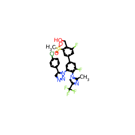 Cc1nc(C(F)(F)F)cn1-c1c(F)cc(-c2cc(F)c(CO)c(S(C)(=O)=O)c2)cc1-n1nncc1-c1ccc(Cl)cc1